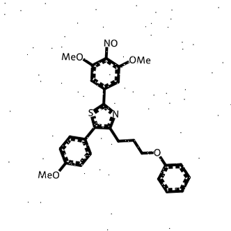 COc1ccc(-c2sc(-c3cc(OC)c(N=O)c(OC)c3)nc2CCCOc2ccccc2)cc1